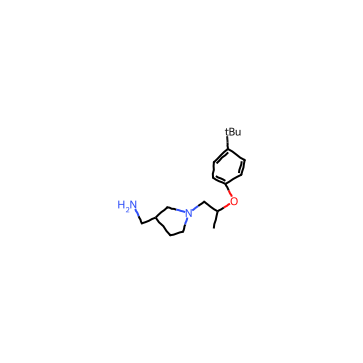 CC(CN1CCC(CN)C1)Oc1ccc(C(C)(C)C)cc1